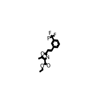 CCOC(=O)c1nc(C=Cc2cccc(C(F)(F)F)c2)oc1C